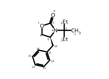 CCC(C)(CC)N1C(=O)OC[C@@H]1Cc1ccccc1